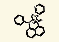 CC(=O)N(c1ccccc1)c1cccc2cccc(S(=O)(=O)O)c12.c1ccncc1